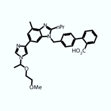 CCCc1nc2c(C)cc(-c3cn(C(C)OCCOC)cn3)cc2n1Cc1ccc(-c2ccccc2C(=O)O)cc1